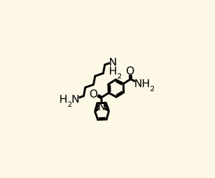 NC(=O)c1ccc(C(=O)n2c3ccc2cc3)cc1.NCCCCCCN